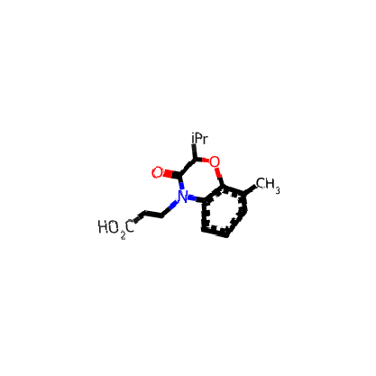 Cc1cccc2c1OC(C(C)C)C(=O)N2CCC(=O)O